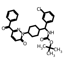 CC(C)(C)OC(=O)NC(c1cccc(Cl)c1)C1CCC(n2nc(C(=O)c3ccccc3)ccc2=O)CC1